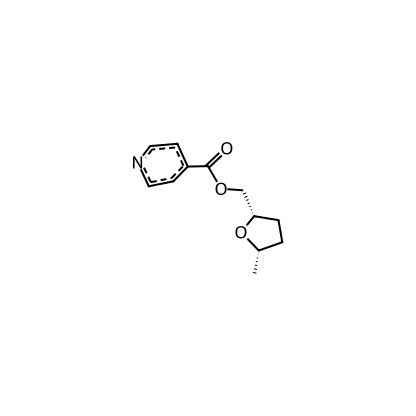 C[C@H]1CC[C@@H](COC(=O)c2ccncc2)O1